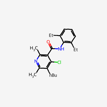 CCCCc1c(C)nc(C)c(C(=O)Nc2c(CC)cccc2CC)c1Cl